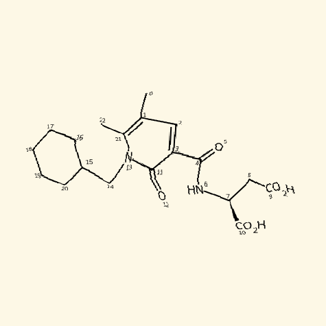 Cc1cc(C(=O)N[C@@H](CC(=O)O)C(=O)O)c(=O)n(CC2CCCCC2)c1C